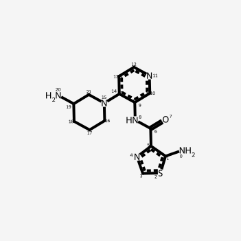 Nc1scnc1C(=O)Nc1cnccc1N1CCCC(N)C1